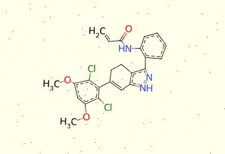 C=CC(=O)Nc1ccccc1-c1n[nH]c2c1CCC(c1c(Cl)c(OC)cc(OC)c1Cl)=C2